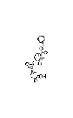 C[C@H]1C(=O)N(CC[C@@H](CO)N2CCC3(CC3)[C@H](O)C2)CCN1C(=O)OCc1ccccc1